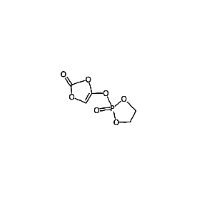 O=c1occ(OP2(=O)OCCO2)o1